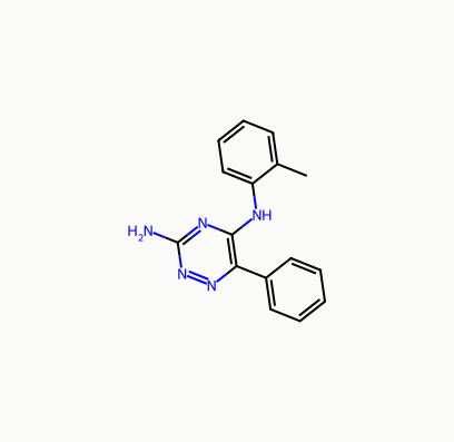 Cc1ccccc1Nc1nc(N)nnc1-c1ccccc1